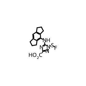 O=C(O)c1nc(Nc2c3c(cc4c2CCC4)CCC3)n(SF)n1